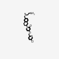 CN(CCN)Cc1ccc2c(c1)CCC(n1ccc(OCc3ccc(Cl)cn3)cc1=O)=C2